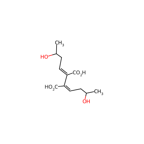 CC(O)CC=C(C(=O)O)C(=CCC(C)O)C(=O)O